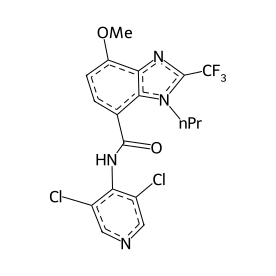 CCCn1c(C(F)(F)F)nc2c(OC)ccc(C(=O)Nc3c(Cl)cncc3Cl)c21